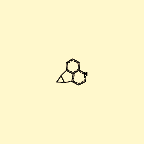 c1cc2c3c(ccnc3c1)C1CC21